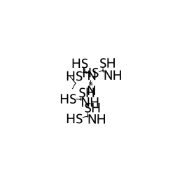 CCC.N#CN=C(S)S.N=C(S)S.N=C(S)S.N=C(S)S